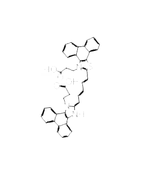 O=C(O)CCN1\C(=C/C=C/C=C/c2sc3c4ccccc4c4ccccc4c3[n+]2CCC(=O)O)Nc2c1c1ccccc1c1ccccc21